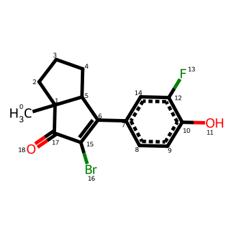 CC12CCCC1C(c1ccc(O)c(F)c1)=C(Br)C2=O